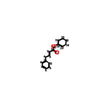 O=C(C=CCc1ccccc1)OC1CCCCC1